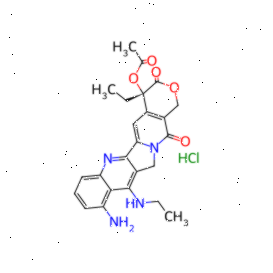 CCNc1c2c(nc3cccc(N)c13)-c1cc3c(c(=O)n1C2)COC(=O)[C@@]3(CC)OC(C)=O.Cl